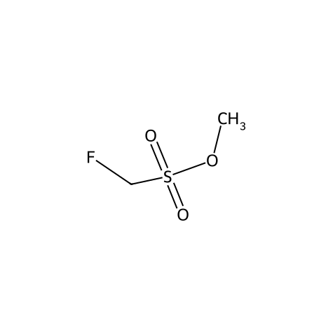 COS(=O)(=O)CF